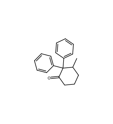 CC1CCCC(=O)C1(c1ccccc1)c1ccccc1